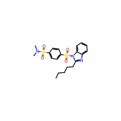 CCCCCc1nc2ccccc2n1S(=O)(=O)c1ccc(S(=O)(=O)N(C)C)cc1